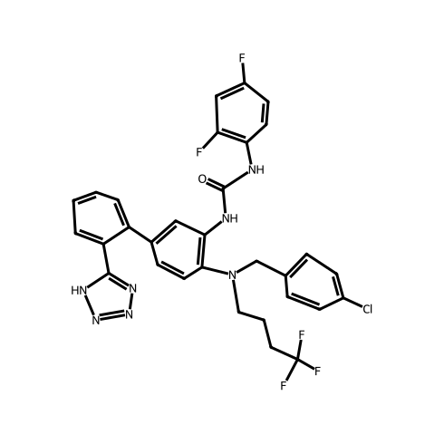 O=C(Nc1ccc(F)cc1F)Nc1cc(-c2ccccc2-c2nnn[nH]2)ccc1N(CCCC(F)(F)F)Cc1ccc(Cl)cc1